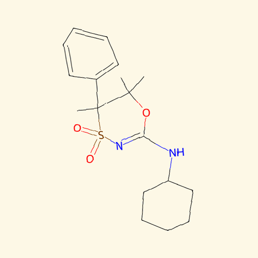 CC1(C)OC(NC2CCCCC2)=NS(=O)(=O)C1(C)c1ccccc1